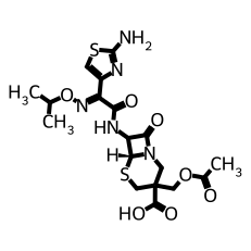 CC(=O)OCC1(C(=O)O)CS[C@@H]2C(NC(=O)C(=NOC(C)C)c3csc(N)n3)C(=O)N2C1